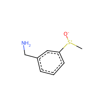 C[S+]([O-])c1cccc(CN)c1